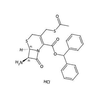 CC(=O)SCC1=C(C(=O)OC(c2ccccc2)c2ccccc2)N2C(=O)[C@@H](N)[C@H]2SC1.Cl